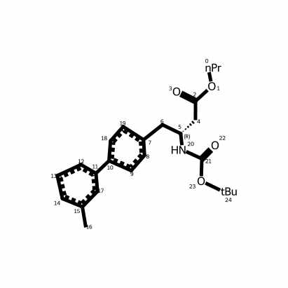 CCCOC(=O)C[C@@H](Cc1ccc(-c2cccc(C)c2)cc1)NC(=O)OC(C)(C)C